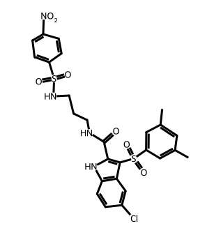 Cc1cc(C)cc(S(=O)(=O)c2c(C(=O)NCCCNS(=O)(=O)c3ccc([N+](=O)[O-])cc3)[nH]c3ccc(Cl)cc23)c1